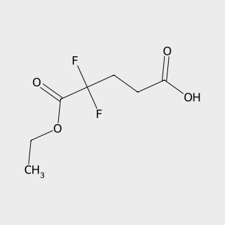 CCOC(=O)C(F)(F)CCC(=O)O